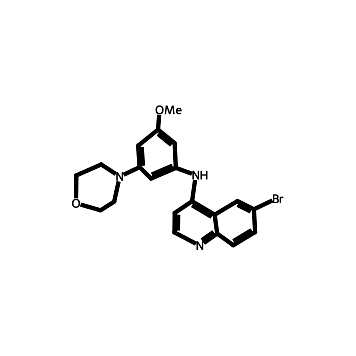 COc1cc(Nc2ccnc3ccc(Br)cc23)cc(N2CCOCC2)c1